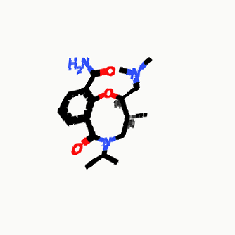 CC(C)N1C[C@@H](C)[C@H](CN(C)C)Oc2c(C(N)=O)cccc2C1=O